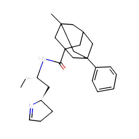 CC[C@@H](C[C@H]1CCC=N1)NC(=O)C12CC3CC(C)(C1)CC(c1ccccc1)(C3)C2